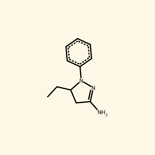 CCC1CC(N)=NN1c1ccccc1